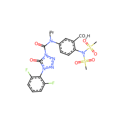 CC(C)N(C(=O)n1nnn(-c2c(F)cccc2F)c1=O)c1ccc(N(S(C)(=O)=O)S(C)(=O)=O)c(C(=O)O)c1